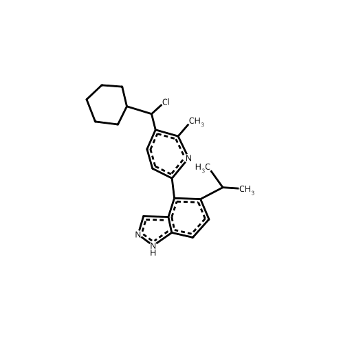 Cc1nc(-c2c(C(C)C)ccc3[nH]ncc23)ccc1C(Cl)C1CCCCC1